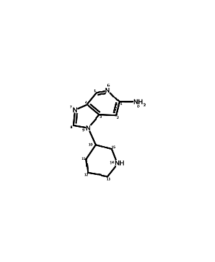 Nc1cc2c(cn1)ncn2C1CCCNC1